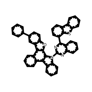 c1ccc(-c2ccc3oc4c(c3c2)c2ccccc2c2c3ccccc3n(-c3nc(-c5cccc6c5sc5ccccc56)c5ccccc5n3)c42)cc1